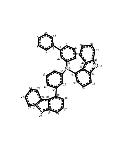 c1ccc(-c2cccc(N(c3cccc(-c4cccc5sc6ccccc6c45)c3)c3cccc4oc5ccccc5c34)c2)cc1